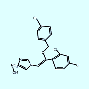 Clc1ccc(CO/C(=C\n2ccnc2)c2ccc(Cl)cc2Cl)cc1.O=[N+]([O-])O